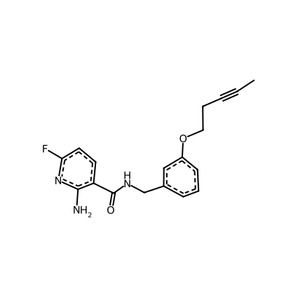 CC#CCCOc1cccc(CNC(=O)c2ccc(F)nc2N)c1